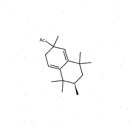 CC(=O)C1(C)C=C2C(=CC1)C(C)(C)[C@H](C)CC2(C)C